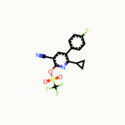 N#Cc1cc(-c2ccc(F)cc2)c(C2CC2)nc1OS(=O)(=O)C(F)(F)F